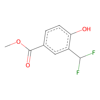 COC(=O)c1ccc(O)c(C(F)F)c1